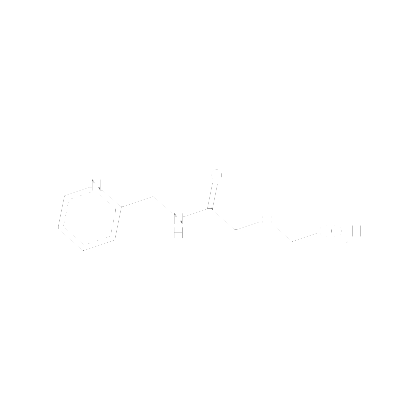 O=C(O)COCC(=O)NCc1ccccn1